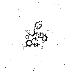 Bc1cc(F)ccc1C1N=C(c2nccs2)NC(CN2CCOCC2)=C1C(=O)OC